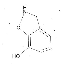 Oc1cccc2c1ONC2